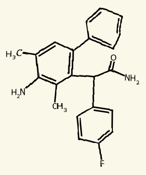 Cc1cc(-c2ccccc2)c(C(C(N)=O)c2ccc(F)cc2)c(C)c1N